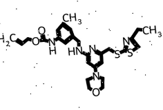 C=CCOC(=O)Nc1cc(C)cc(CNc2cc(N3CCOCC3)cc(CSc3nc(CC)cs3)n2)c1